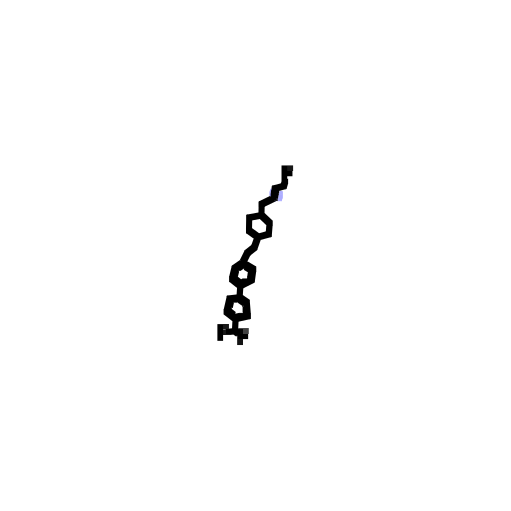 FC/C=C/CC1CCC(CCc2ccc(-c3ccc(C(F)F)cc3)cc2)CC1